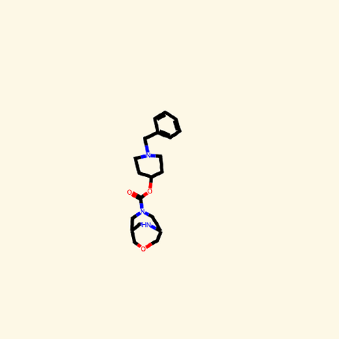 O=C(OC1CCN(Cc2ccccc2)CC1)N1CC2CNC(COC2)C1